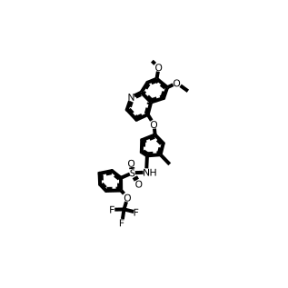 COc1cc2nccc(Oc3ccc(NS(=O)(=O)c4ccccc4OC(F)(F)F)c(C)c3)c2cc1OC